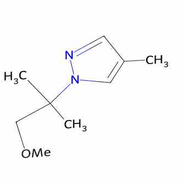 COCC(C)(C)n1cc(C)cn1